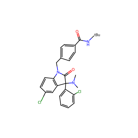 CN(C)C1(c2ccccc2Cl)C(=O)N(Cc2ccc(C(=O)NC(C)(C)C)cc2)c2ccc(Cl)cc21